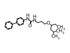 CCC(CC(C)C)OCCCNC(=O)Nc1ccc(-c2ccccc2)cc1